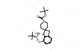 CC(C)(C)OC(=O)N1CCC2(CC1)Cc1cccc(F)c1[C@@H]2N[S@@+]([O-])C(C)(C)C